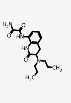 CCCN(CCC)C1Cc2cccc(NC(=O)C(N)=O)c2NC1=O